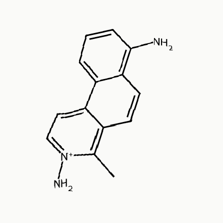 Cc1c2ccc3c(N)cccc3c2cc[n+]1N